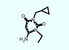 CCn1c(N)cc(=O)n(CC2CC2)c1=O